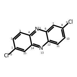 Clc1ccc2nc3cc(Cl)ccc3nc2c1